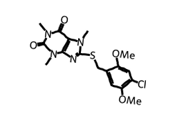 COc1cc(CSc2nc3c(c(=O)n(C)c(=O)n3C)n2C)c(OC)cc1Cl